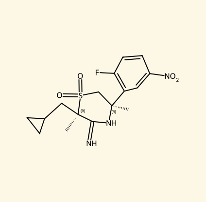 C[C@@]1(c2cc([N+](=O)[O-])ccc2F)CS(=O)(=O)[C@](C)(CC2CC2)C(=N)N1